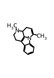 CC1=CCC2c3c(c4ccccc4n31)CCN2C